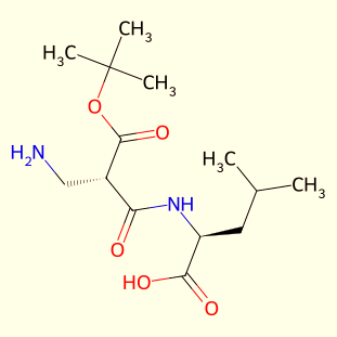 CC(C)C[C@H](NC(=O)[C@H](CN)C(=O)OC(C)(C)C)C(=O)O